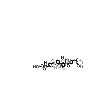 Cc1c(NC(=O)c2ccc(CNC(=O)OCCO)cn2)cccc1-c1cccc(NC(=O)c2ccc(CN(C)CCO)cn2)c1C